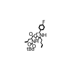 C=CCCC(=O)N[C@@H](COC(=O)C(CC=C)NC(=O)OC(C)(C)C)c1ccc(F)cc1